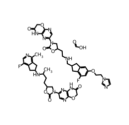 Cc1ncc(F)c2c1CC(NC(C)CCC1CN(c3cnc4c(n3)NC(=O)CO4)C(=O)O1)C2.O=C1COc2ncc(N3CC(CCNCC4Cc5cc(OCCn6ccnc6)cc(F)c5C4)OC3=O)nc2N1.O=CO